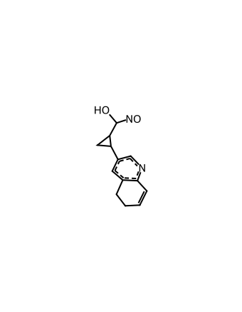 O=NC(O)C1CC1c1cnc2c(c1)CCC=C2